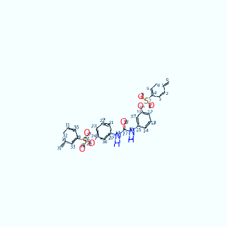 C=C/C=C\C(=C/C)S(=O)(=O)Oc1cccc(NC(=O)Nc2cccc(OS(=O)(=O)C(/C=C\C)=C/C=C)c2)c1